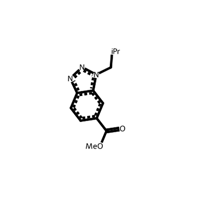 COC(=O)c1ccc2nnn(CC(C)C)c2c1